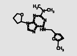 Cc1ccc(CNc2nc(N(C)C)nc3c2ncn3C2CCCO2)o1